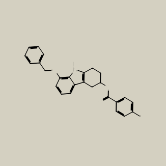 O=C(OC1CCc2[nH]c3c(OCc4ccccc4)cccc3c2C1)c1ccc(I)cc1